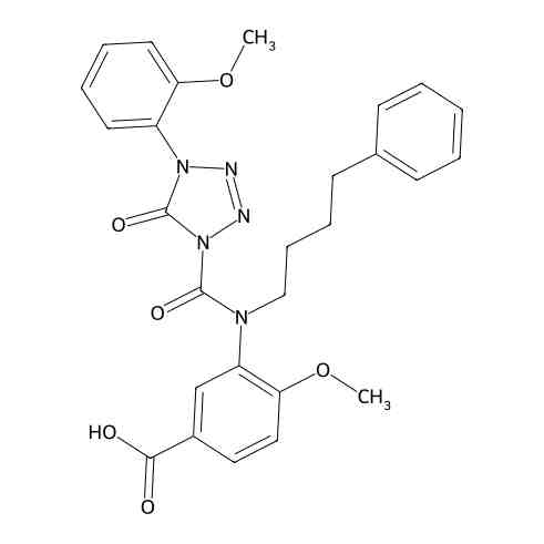 COc1ccc(C(=O)O)cc1N(CCCCc1ccccc1)C(=O)n1nnn(-c2ccccc2OC)c1=O